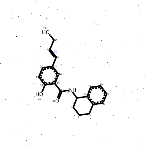 O=C(NC1CCCc2ccccc21)c1cc(/C=C/CO)ccc1O